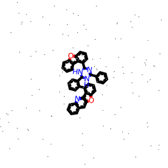 c1ccc(C2=NC(c3cccc4oc5ccccc5c34)NC(c3ccccc3-c3cccc4oc5cc6ccccc6nc5c34)N2)cc1